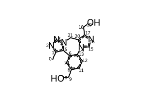 Cc1nnn2c1-c1cc(CO)ccc1-n1cnc(CO)c1C2